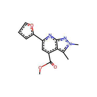 COC(=O)c1cc(-c2ccco2)nc2nn(C)c(C)c12